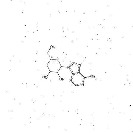 Nc1ncnc2c1ncn2C1O[C@@H](CO)CC(O)C1O